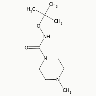 CN1CCN(C(=O)NOC(C)(C)C)CC1